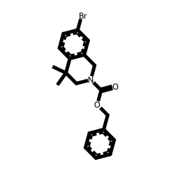 CC1(C)CN(C(=O)OCc2ccccc2)Cc2cc(Br)ccc21